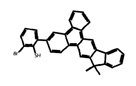 CC1(C)c2ccccc2-c2cc3c4ccccc4c4cc(-c5cccc(Br)c5S)ccc4c3cc21